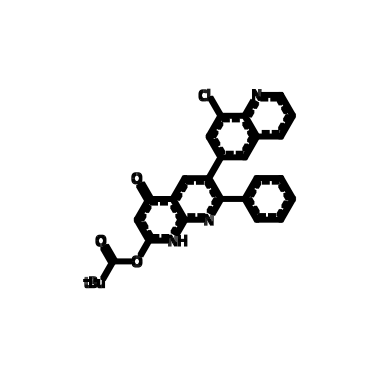 CC(C)(C)C(=O)Oc1cc(=O)c2cc(-c3cc(Cl)c4ncccc4c3)c(-c3ccccc3)nc2[nH]1